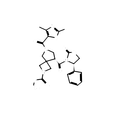 Cc1nc(C)c(C(=O)N2C[C@@H](C(=O)N3C(=O)OC[C@H]3c3ccccc3)C3(CN(C(=O)OC(C)(C)C)C3)C2)s1